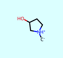 [CH2-][NH+]1CCC(O)C1